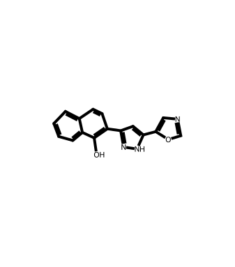 Oc1c(-c2cc(-c3cnco3)[nH]n2)ccc2ccccc12